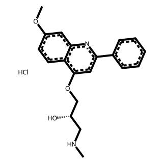 CNC[C@H](O)COc1cc(-c2ccccc2)nc2cc(OC)ccc12.Cl